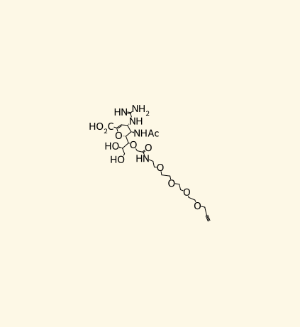 C#CCOCCOCCOCCOCCNC(=O)CO[C@@H]([C@@H]1OC(C(=O)O)=C[C@H](NC(=N)N)[C@H]1NC(C)=O)[C@H](O)CO